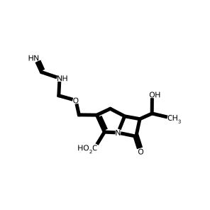 CC(O)C1C(=O)N2C(C(=O)O)=C(COCNC=N)CC12